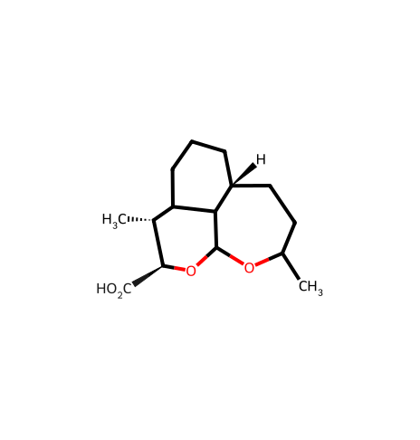 CC1CC[C@H]2CCCC3C2C(O1)O[C@@H](C(=O)O)[C@@H]3C